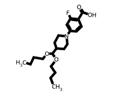 CCCCOC(OCCCC)C1CCN(c2ccc(C(=O)O)c(F)c2)CC1